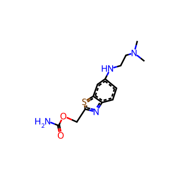 CN(C)CCNc1ccc2nc(COC(N)=O)sc2c1